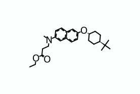 CCOC(=O)CCN(C)c1ccc2cc(O[C@H]3CC[C@H](C(C)(C)C)CC3)ccc2c1